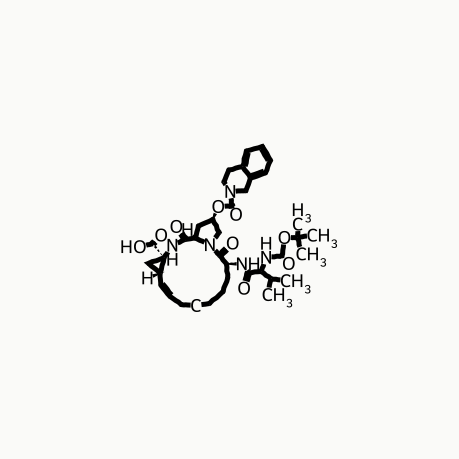 CC(C)C(NC(=O)OC(C)(C)C)C(=O)N[C@H]1CCCCC/C=C\[C@@H]2C[C@@]2(C(=O)O)NC(=O)[C@@H]2C[C@@H](OC(=O)N3CCc4ccccc4C3)CN2C1=O